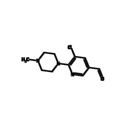 CN1CCN(c2ncc(C=O)cc2Cl)CC1